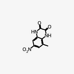 Cc1cc([N+](=O)[O-])cc2[nH]c(=O)c(=O)[nH]c12